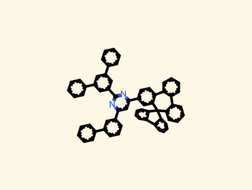 c1ccc(-c2cccc(-c3cc(-c4ccc5c(c4)C4(c6ccccc6-c6ccccc6-5)c5ccccc5-c5ccccc54)nc(-c4cc(-c5ccccc5)cc(-c5ccccc5)c4)n3)c2)cc1